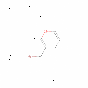 BrCC1=COC=CC1